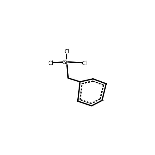 Cl[Si](Cl)(Cl)Cc1cc[c]cc1